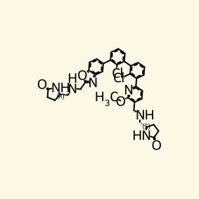 COc1nc(-c2cccc(-c3cccc(-c4ccc5oc(CNC[C@H]6CCC(=O)N6)nc5c4)c3Cl)c2Cl)ccc1CNC[C@@H]1CCC(=O)N1